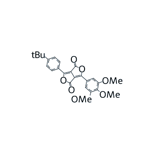 COc1cc(C2=C3C(=O)OC(c4ccc(C(C)(C)C)cc4)=C3C(=O)O2)cc(OC)c1OC